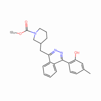 Cc1ccc(-c2nnc(CC3CCCN(C(=O)OC(C)(C)C)C3)c3ccccc23)c(O)c1